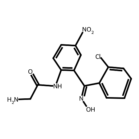 NCC(=O)Nc1ccc([N+](=O)[O-])cc1C(=NO)c1ccccc1Cl